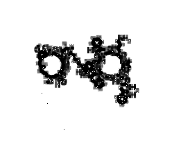 COc1cc2cc(c1Cl)N(C)C(=O)C[C@H](OC(=O)[C@H](C)N(C)C(=O)CCSSCCCN[C@H](Cc1ccccc1)C(=O)N[C@H]1CSSC[C@@H](C(=O)N[C@@H](Cc3c[nH]c4ccccc34)C(N)=O)NC(=O)[C@H](C(C)C)NC(=O)[C@H](CCCCN)NC(=O)[C@@H](Cc3c[nH]c4ccccc34)NC(=O)[C@H](Cc3ccc(O)cc3)NC1=O)[C@]1(C)O[C@H]1[C@H](C)[C@@H]1CC(NC(=O)O1)[C@H](OC)/C=C/C=C(\C)C2